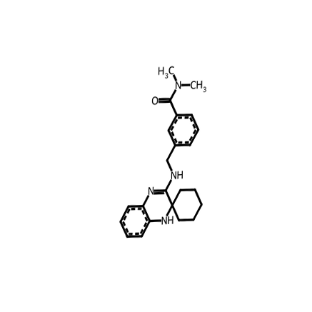 CN(C)C(=O)c1cccc(CNC2=Nc3ccccc3NC23CCCCC3)c1